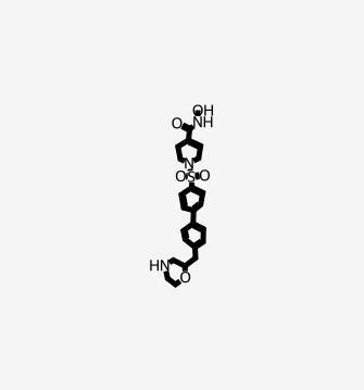 O=C(NO)C1=CCN(S(=O)(=O)c2ccc(-c3ccc(CC4CNCCO4)cc3)cc2)CC1